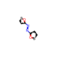 b1ccc(N=Nc2ccbo2)o1